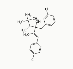 CC(=Cc1ccc(Cl)cc1)C(O)(Cc1cccc(Cl)c1)C(C)C(C)(C)N